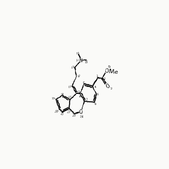 COC(=O)Cc1ccc2c(c1)C(=CCCN(C)C)c1ccccc1CO2